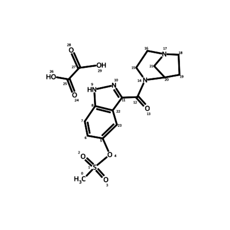 CS(=O)(=O)Oc1ccc2[nH]nc(C(=O)N3CCN4CCC3C4)c2c1.O=C(O)C(=O)O